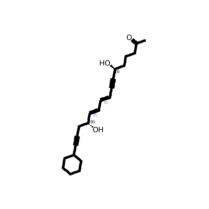 CC(=O)CCC[C@H](O)C#C/C=C/C=C/[C@H](O)CC#CC1CCCCC1